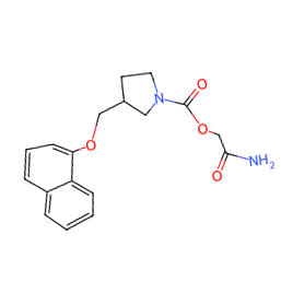 NC(=O)COC(=O)N1CCC(COc2cccc3ccccc23)C1